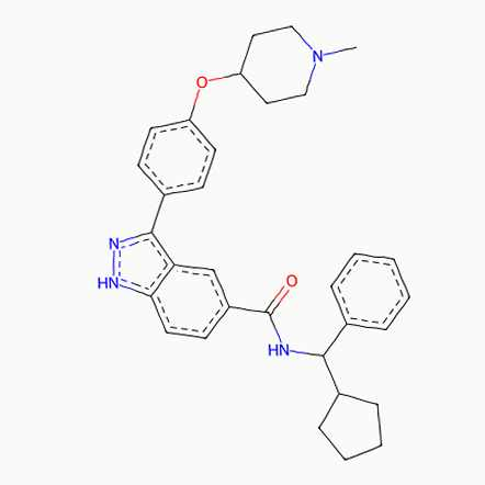 CN1CCC(Oc2ccc(-c3n[nH]c4ccc(C(=O)NC(c5ccccc5)C5CCCC5)cc34)cc2)CC1